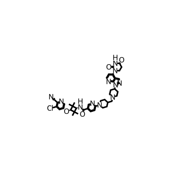 CC1(C)[C@H](NC(=O)c2ccc(N3CCC(CN4CCC(n5ncc6c(N7CCC(=O)NC7=O)ccnc65)CC4)CC3)nc2)C(C)(C)[C@H]1Oc1cnc(C#N)c(Cl)c1